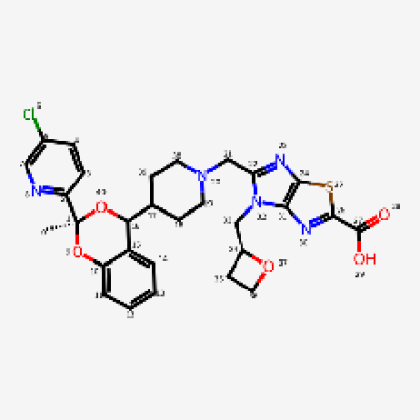 C[C@@]1(c2ccc(Cl)cn2)Oc2ccccc2C(C2CCN(Cc3nc4sc(C(=O)O)nc4n3C[C@@H]3CCO3)CC2)O1